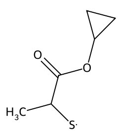 CC([S])C(=O)OC1CC1